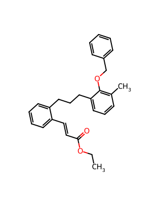 CCOC(=O)C=Cc1ccccc1CCCc1cccc(C)c1OCc1ccccc1